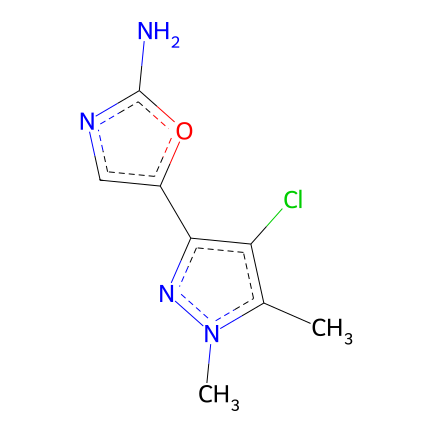 Cc1c(Cl)c(-c2cnc(N)o2)nn1C